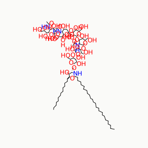 CCCCCCCCCCCCC/C=C/[C@@H](O)[C@H](CO[C@@H]1OC(CO)[C@@H](O[C@@H]2OC(CO)[C@H](O[C@@H]3OC(CO)[C@H](O)[C@H](O[C@@H]4OC(CO)[C@H](O)[C@H](O[C@]5(C(=O)O)CC(O)[C@@H](NC(C)=O)C([C@H](O)[C@@H](CO)O[C@]6(C(=O)O)CC(O)[C@@H](NC(C)=O)C([C@H](O)[C@H](O)CO)O6)O5)C4O)C3NC(C)=O)[C@H](O)C2O)[C@H](O)C1O)NC(=O)CCCCCCCCCCCCCCCCCCCCCCCCC